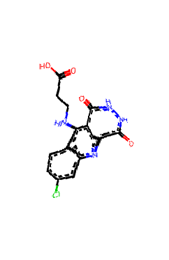 O=C(O)CCNc1c2ccc(Cl)cc2nc2c(=O)[nH][nH]c(=O)c12